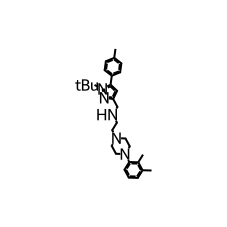 Cc1ccc(-c2cc(CNCCN3CCN(c4cccc(C)c4C)CC3)nn2C(C)(C)C)cc1